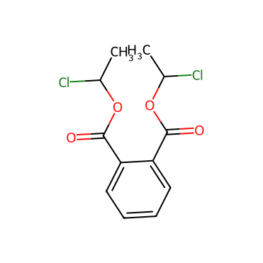 CC(Cl)OC(=O)c1ccccc1C(=O)OC(C)Cl